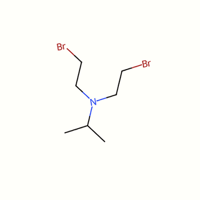 CC(C)N(CCBr)CCBr